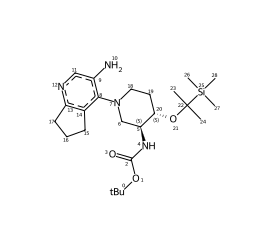 CC(C)(C)OC(=O)N[C@H]1CN(c2c(N)cnc3c2CCC3)CC[C@@H]1OC(C)(C)[Si](C)(C)C